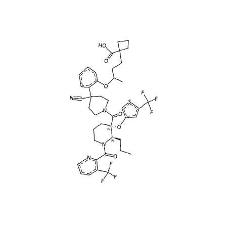 CCC[C@H]1N(C(=O)c2ncccc2C(F)(F)F)CCC[C@@]1(Oc1csc(C(F)(F)F)c1)C(=O)N1CCC(C#N)(c2ccccc2OC(C)CCC2(C(=O)O)CCC2)CC1